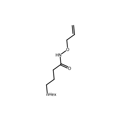 C=CCONC(=O)CCCCCCCCC